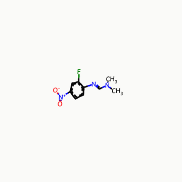 CN(C)C=Nc1ccc([N+](=O)[O-])cc1F